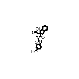 CN(C(=O)C1(CC(=O)O)Cc2ccccc2C1)c1nc2ccc(O)cc2s1